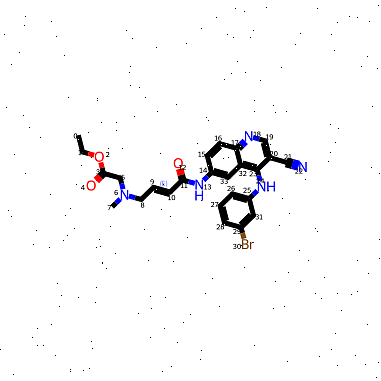 CCOC(=O)CN(C)C/C=C/C(=O)Nc1ccc2ncc(C#N)c(Nc3cccc(Br)c3)c2c1